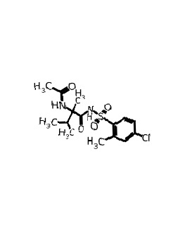 CC(=O)NC(C)(C(=O)NS(=O)(=O)c1ccc(Cl)cc1C)C(C)C